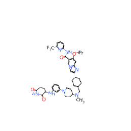 CC(C)Oc1cc2nc([C@H]3CC[C@H](CN(C)C4CCN(c5cccc(NC6CCC(=O)NC6=O)c5)CC4)CC3)cn2cc1C(=O)Nc1cccc(C(F)(F)F)n1